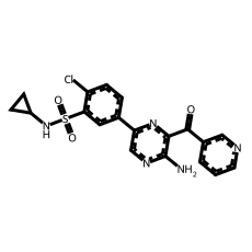 Nc1ncc(-c2ccc(Cl)c(S(=O)(=O)NC3CC3)c2)nc1C(=O)c1cccnc1